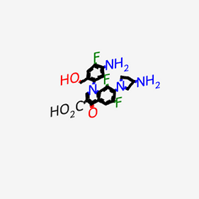 Nc1cc(-n2cc(C(=O)O)c(=O)c3cc(F)c(N4CCC(N)C4)c(F)c32)c(CO)cc1F